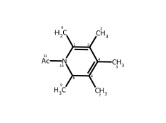 [CH2]C1=C(C)C(C)=C(C)C(C)N1C(C)=O